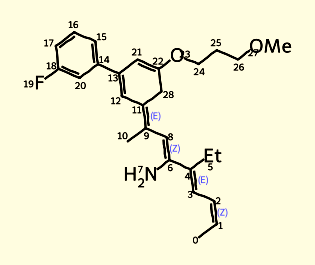 C\C=C/C=C(CC)/C(N)=C/C(C)=C1/C=C(c2cccc(F)c2)C=C(OCCCOC)C1